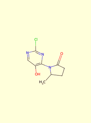 CC1CCC(=O)N1c1nc(Cl)ncc1O